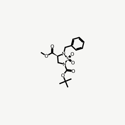 COC(=O)[C@@H]1CN(C(=O)OC(C)(C)C)S(=O)(=O)N1Cc1ccccc1